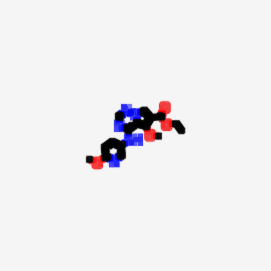 CCOC(=O)c1cn2ncnc(Nc3ccc(OC)nc3)c2c1OC